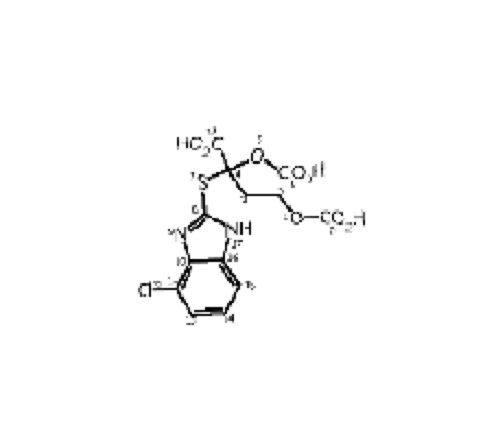 O=C(O)OCCC(OC(=O)O)(Sc1nc2c(Cl)cccc2[nH]1)C(=O)O